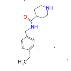 CCc1ccc(CNC(=O)C2CCNCC2)cc1